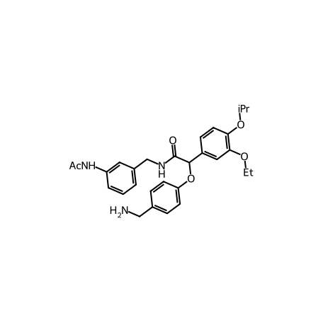 CCOc1cc(C(Oc2ccc(CN)cc2)C(=O)NCc2cccc(NC(C)=O)c2)ccc1OC(C)C